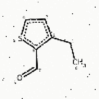 CCc1ccsc1[C]=O